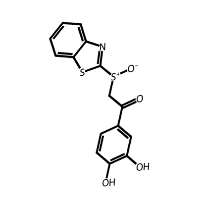 O=C(C[S+]([O-])c1nc2ccccc2s1)c1ccc(O)c(O)c1